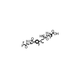 CCN(CCN(NC)C(=O)Nc1nc(C(=O)O)cs1)c1ccc(N2C[C@H](CNC(=O)C(F)F)OC2=O)cc1F